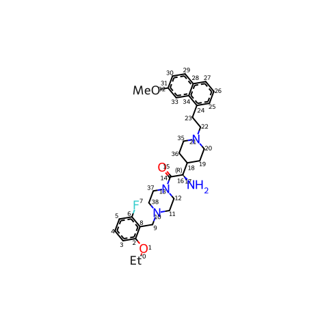 CCOc1cccc(F)c1CN1CCN(C(=O)[C@H](N)C2CCN(CCc3cccc4ccc(OC)cc34)CC2)CC1